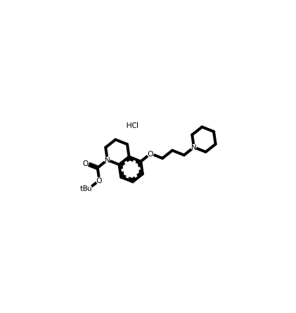 CC(C)(C)OC(=O)N1CCCc2c(OCCCN3CCCCC3)cccc21.Cl